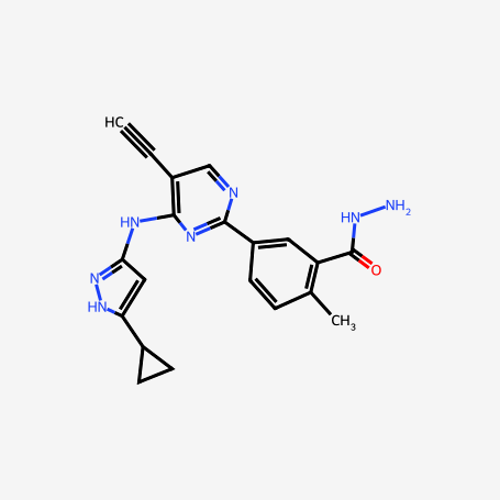 C#Cc1cnc(-c2ccc(C)c(C(=O)NN)c2)nc1Nc1cc(C2CC2)[nH]n1